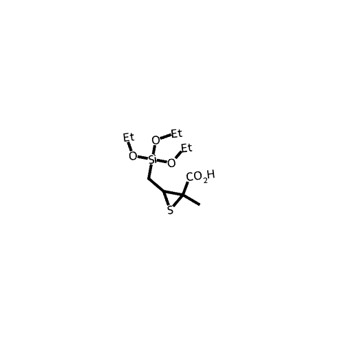 CCO[Si](CC1SC1(C)C(=O)O)(OCC)OCC